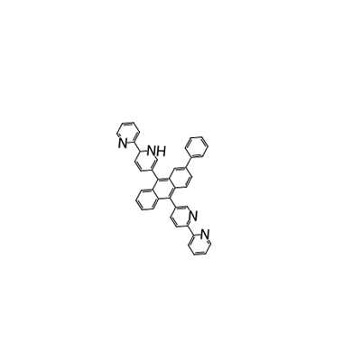 C1=CC(c2ccccn2)NC=C1c1c2ccccc2c(-c2ccc(-c3ccccn3)nc2)c2ccc(-c3ccccc3)cc12